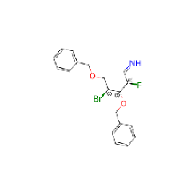 N=C[C@@H](F)[C@H](OCc1ccccc1)[C@@H](Br)COCc1ccccc1